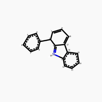 C1=CC(c2ccccc2)C2=Nc3ccccc3C2=C1